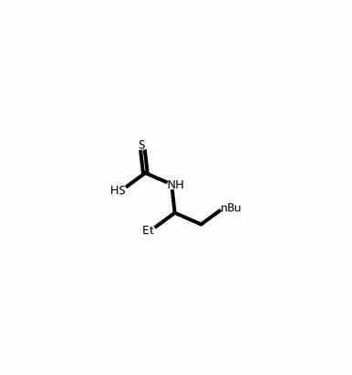 CCCCCC(CC)NC(=S)S